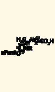 CCCCCOc1ccc(/C(C)=C/CN2CC(C(=O)O)C2)c(CC)c1